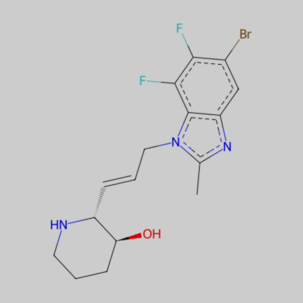 Cc1nc2cc(Br)c(F)c(F)c2n1C/C=C/[C@H]1NCCC[C@@H]1O